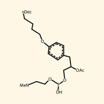 CCCCCCCCCCCCCCOc1ccc(CC(COP(O)OCCNC)OC(C)=O)cc1